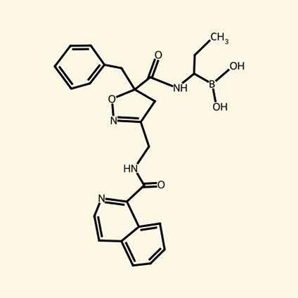 CCC(NC(=O)C1(Cc2ccccc2)CC(CNC(=O)c2nccc3ccccc23)=NO1)B(O)O